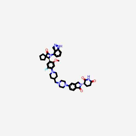 COc1cc(N2CCC(CN3CCN(c4ccc5c(c4)CN([C@H]4CCC(=O)NC4=O)C5=O)CC3)CC2)c(F)cc1[C@@H]1N(c2cccc3[nH]ncc23)C(=O)C12CCCC2